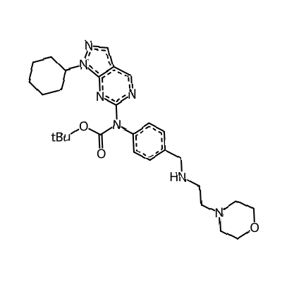 CC(C)(C)OC(=O)N(c1ccc(CNCCN2CCOCC2)cc1)c1ncc2cnn(C3CCCCC3)c2n1